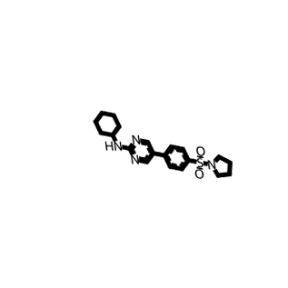 O=S(=O)(c1ccc(-c2cnc(NC3CCCCC3)nc2)cc1)N1CCCC1